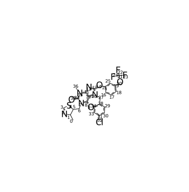 CC1N=CSC1Cn1c(=O)c2c(nc(Oc3cccc(OC(F)(F)F)c3)n2Cc2ccc(Cl)cc2)n(C)c1=O